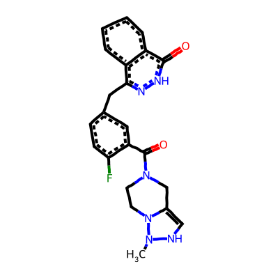 CN1NC=C2CN(C(=O)c3cc(Cc4n[nH]c(=O)c5ccccc45)ccc3F)CCN21